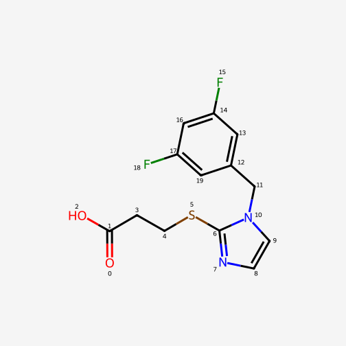 O=C(O)CCSc1nccn1Cc1cc(F)cc(F)c1